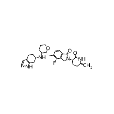 C=C1CCC(N2Cc3c(ccc(C[C@H]4OCCC[C@@H]4N[C@@H]4CCc5cn[nH]c5C4)c3F)C2=O)C(=O)N1